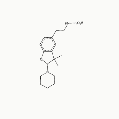 CC1(C)c2cc(CCNS(=O)(=O)O)ccc2OC1N1CCCCC1